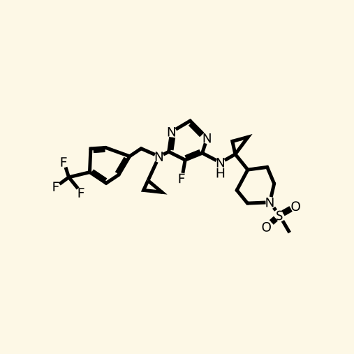 CS(=O)(=O)N1CCC(C2(Nc3ncnc(N(Cc4ccc(C(F)(F)F)cc4)C4CC4)c3F)CC2)CC1